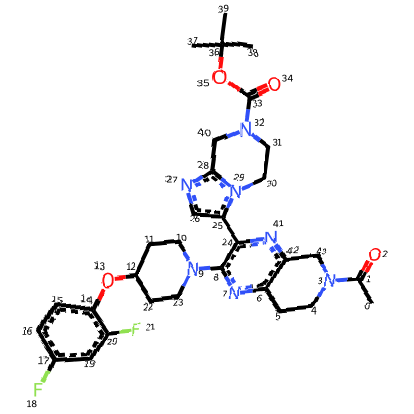 CC(=O)N1CCc2nc(N3CCC(Oc4ccc(F)cc4F)CC3)c(-c3cnc4n3CCN(C(=O)OC(C)(C)C)C4)nc2C1